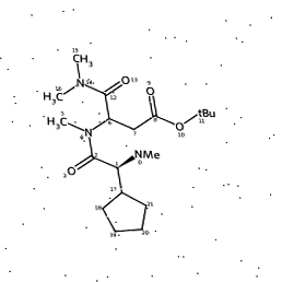 CN[C@H](C(=O)N(C)C(CC(=O)OC(C)(C)C)C(=O)N(C)C)C1CCCC1